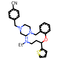 CCNCCC(Oc1ccccc1CN1CCN(Cc2ccc(C#N)cc2)CC1)c1cccs1